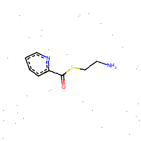 NCCSC(=O)c1ccccn1